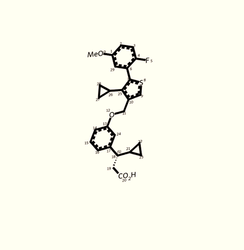 COc1ccc(F)c(-c2scc(COc3cccc([C@@H](CC(=O)O)C4CC4)c3)c2C2CC2)c1